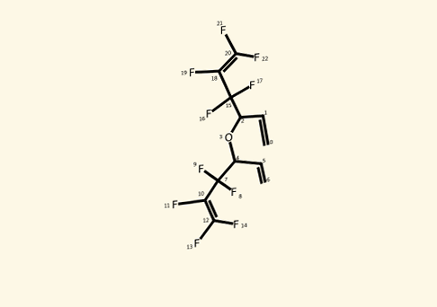 C=CC(OC(C=C)C(F)(F)C(F)=C(F)F)C(F)(F)C(F)=C(F)F